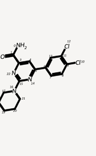 NC(=O)c1cc(-c2ccc(Cl)c(Cl)c2)nc(N2CCCCC2)n1